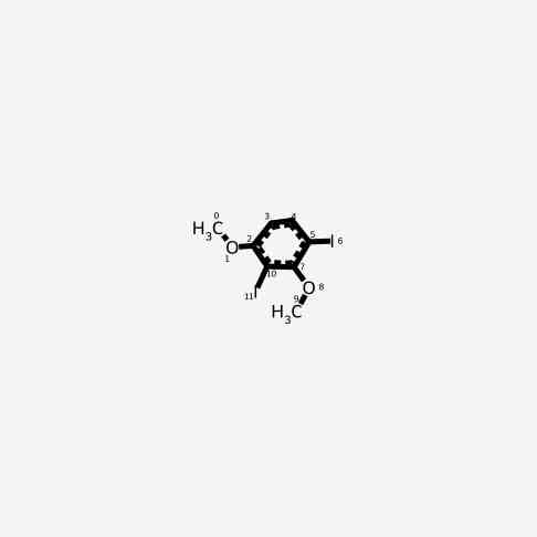 COc1ccc(I)c(OC)c1I